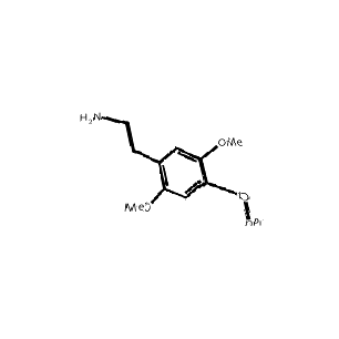 CCCOc1cc(OC)c(CCN)cc1OC